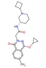 Cc1ccc2c(=O)n(CC(=O)N[C@H]3CCCN(C4CCC4)C3)nc(OC3CC3)c2c1